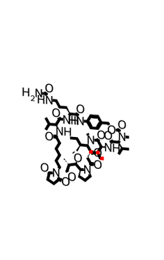 CC[C@H](C)[C@@H]([C@@H](CC(=O)N1CCC[C@H]1[C@H](OC)[C@@H](C)C=O)OC)N(C)C(=O)[C@@H](NC(=O)[C@H](C(C)C)N(C)C(=O)OCc1ccc(NC(=O)[C@H](CCCNC(N)=O)NC(=O)[C@@H](NC(=O)CCCCCN2C(=O)CCC2=O)C(C)C)cc1)C(C)C